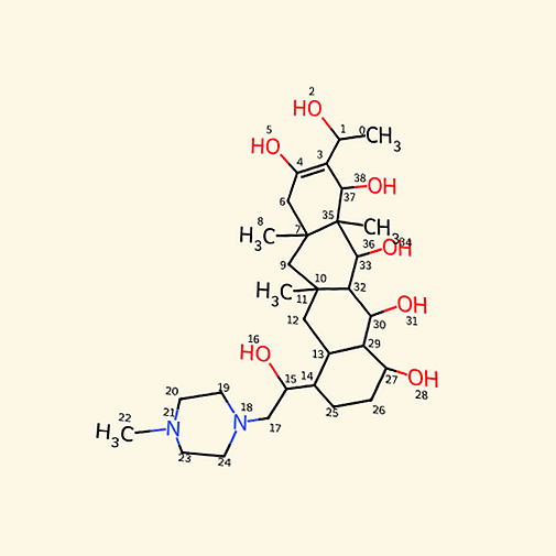 CC(O)C1=C(O)CC2(C)CC3(C)CC4C(C(O)CN5CCN(C)CC5)CCC(O)C4C(O)C3C(O)C2(C)C1O